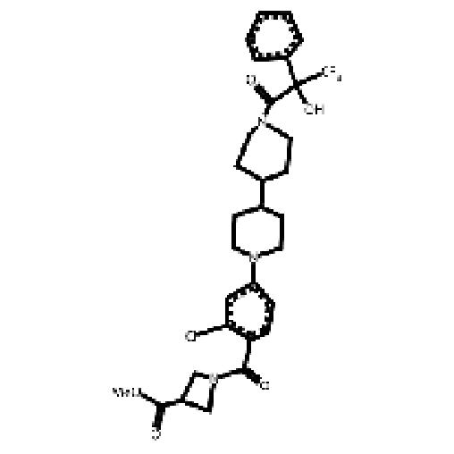 COC(=O)C1CN(C(=O)c2ccc(N3CCC(C4CCN(C(=O)C(O)(c5ccccc5)C(F)(F)F)CC4)CC3)cc2Cl)C1